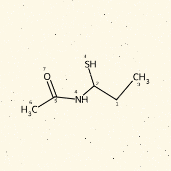 CCC(S)NC(C)=O